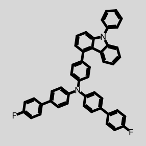 Fc1ccc(-c2ccc(N(c3ccc(-c4ccc(F)cc4)cc3)c3ccc(-c4cccc5c4c4ccccc4n5-c4ccccc4)cc3)cc2)cc1